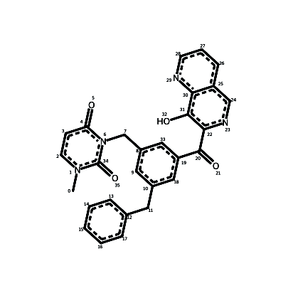 Cn1ccc(=O)n(Cc2cc(Cc3ccccc3)cc(C(=O)c3ncc4cccnc4c3O)c2)c1=O